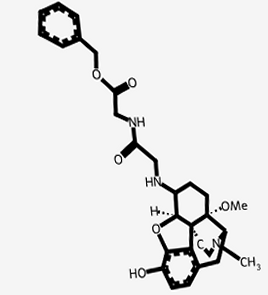 CO[C@@]12CCC(NCC(=O)NCC(=O)OCc3ccccc3)[C@@H]3Oc4c(O)ccc5c4[C@@]31CCN(C)C2C5